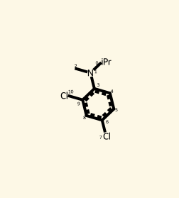 CC(C)N(C)c1ccc(Cl)cc1Cl